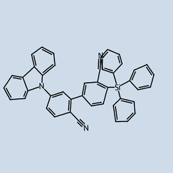 N#Cc1ccc(-n2c3ccccc3c3ccccc32)cc1-c1ccc([Si](c2ccccc2)(c2ccccc2)c2ccccc2)c(C#N)c1